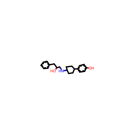 Oc1ccc(C2CCC(NCC(O)Cc3ccccc3)CC2)cc1